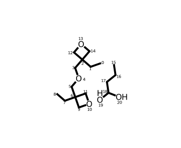 CCC1(COCC2(CC)COC2)COC1.CCCC(O)O